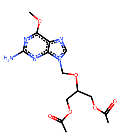 COc1nc(N)nc2c1ncn2COC(COC(C)=O)COC(C)=O